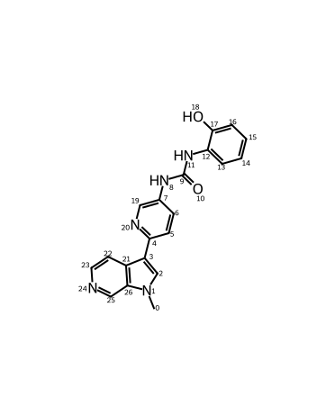 Cn1cc(-c2ccc(NC(=O)Nc3ccccc3O)cn2)c2ccncc21